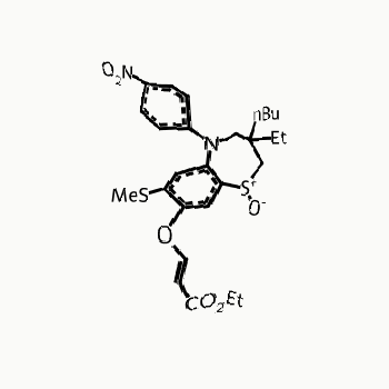 CCCCC1(CC)CN(c2ccc([N+](=O)[O-])cc2)c2cc(SC)c(O/C=C/C(=O)OCC)cc2[S+]([O-])C1